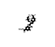 C=CC(F)(F)Cn1c(-c2nc3cc(C(=O)OC)cc(F)c3n2C)cc2ccc([C@@H](C)N)nc21